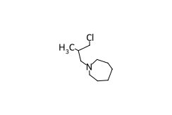 CC(CCl)CN1CCCCCC1